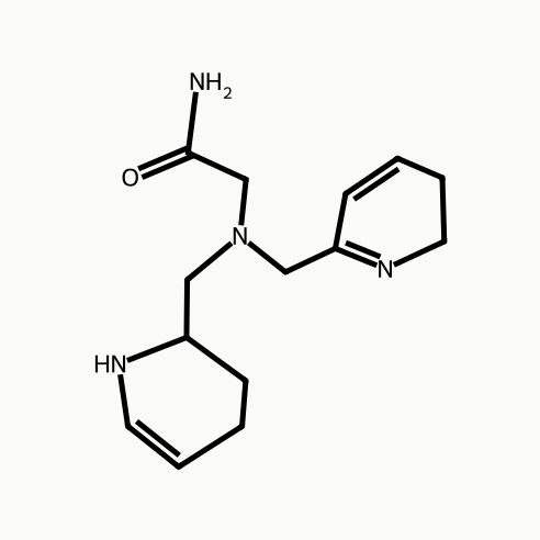 NC(=O)CN(CC1=NCCC=C1)CC1CCC=CN1